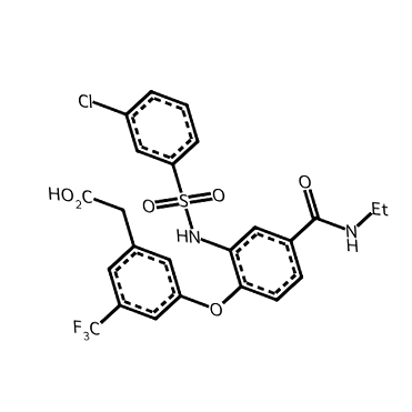 CCNC(=O)c1ccc(Oc2cc(CC(=O)O)cc(C(F)(F)F)c2)c(NS(=O)(=O)c2cccc(Cl)c2)c1